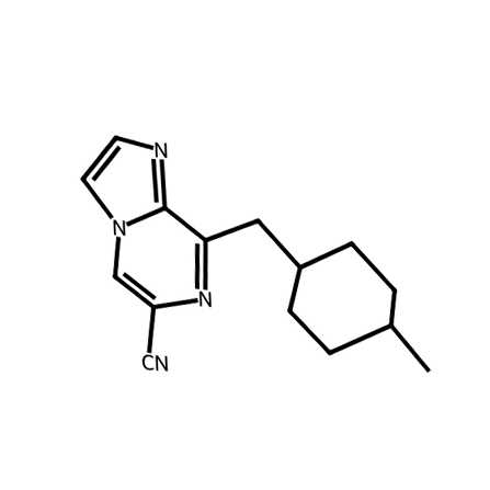 CC1CCC(Cc2nc(C#N)cn3ccnc23)CC1